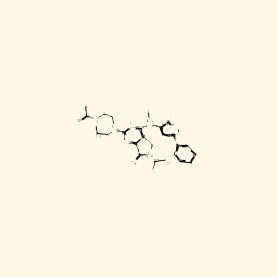 CC(=O)N1CCN(c2nc3c(c(N(C)c4cnn(-c5ccccc5)c4)n2)CN(C(C)C)C3=O)CC1